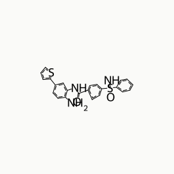 N=S(=O)(c1ccccc1)c1ccc(C(=O)Nc2cc(-c3cccs3)ccc2N)cc1